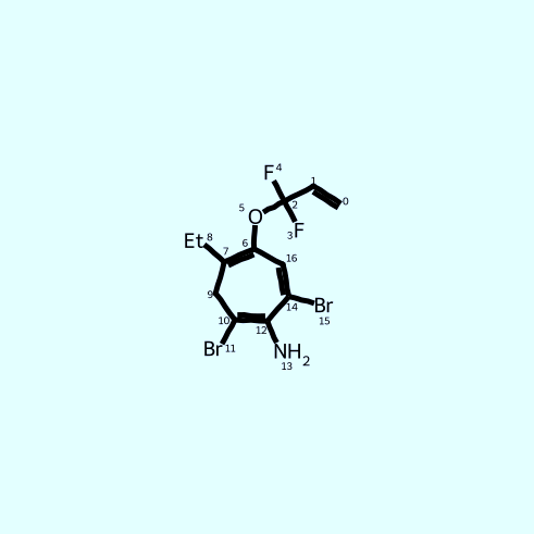 C=CC(F)(F)OC1=C(CC)CC(Br)=C(N)C(Br)=C1